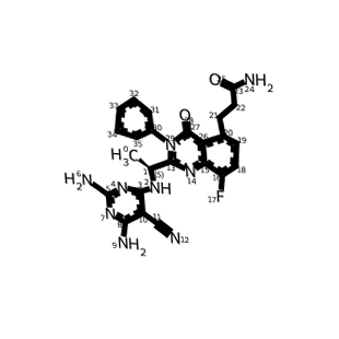 C[C@H](Nc1nc(N)nc(N)c1C#N)c1nc2c(F)ccc(CCC(N)=O)c2c(=O)n1-c1ccccc1